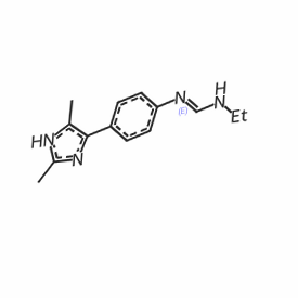 CCN/C=N/c1ccc(-c2nc(C)[nH]c2C)cc1